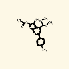 COC(OC)c1cc(-c2ccc(C)cc2)nc2sc(OC(N)=O)c(N)c12